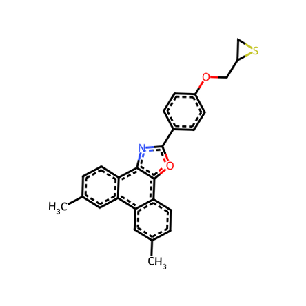 Cc1ccc2c(c1)c1cc(C)ccc1c1oc(-c3ccc(OCC4CS4)cc3)nc21